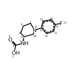 O=C(O)N[C@H]1CCCN(c2ccc(F)cc2)C1